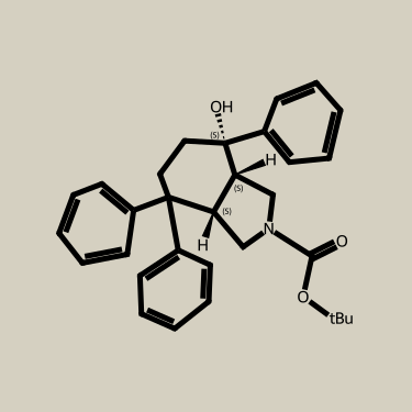 CC(C)(C)OC(=O)N1C[C@@H]2[C@H](C1)C(c1ccccc1)(c1ccccc1)CC[C@@]2(O)c1ccccc1